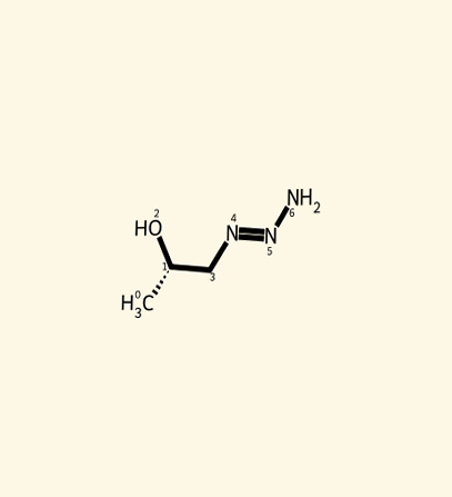 C[C@H](O)CN=NN